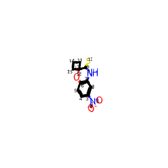 O=[N+]([O-])c1ccc2c(c1)NC(=S)C1(CCC1)O2